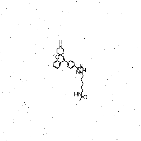 CC(=O)NCCCCCn1nnc(-c2ccc(C3=CC4(CCNCC4)Oc4ccccc43)cc2)n1